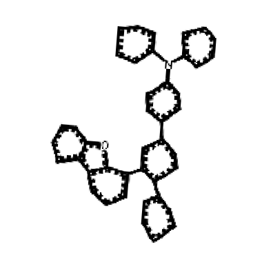 c1ccc(-c2ccc(-c3ccc(N(c4ccccc4)c4ccccc4)cc3)cc2-c2cccc3c2oc2ccccc23)cc1